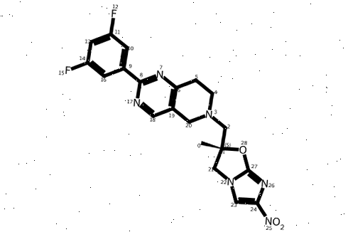 C[C@]1(CN2CCc3nc(-c4cc(F)cc(F)c4)ncc3C2)Cn2cc([N+](=O)[O-])nc2O1